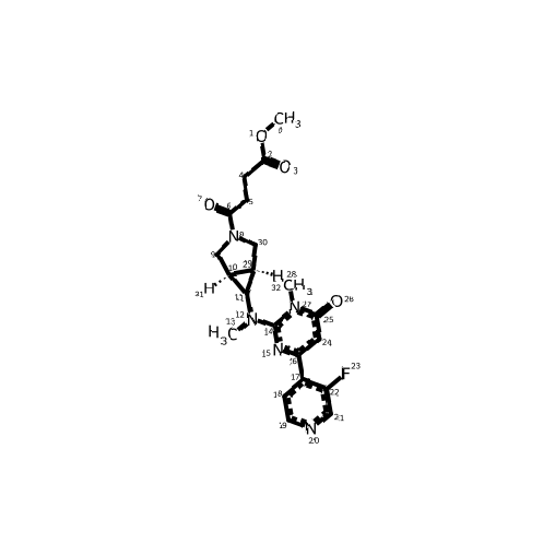 COC(=O)CCC(=O)N1C[C@@H]2C(N(C)c3nc(-c4ccncc4F)cc(=O)n3C)[C@@H]2C1